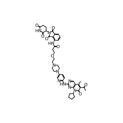 CC(=O)c1c(C)c2cnc(Nc3ccc(N4CCN(CCOCCC(=O)Nc5cccc6c5C(=O)N(C5CCC(=O)NC5=O)C6=O)CC4)cn3)nc2n(C2CCCC2)c1=O